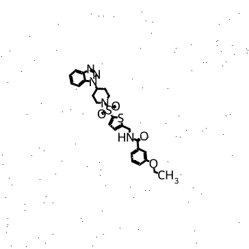 CCOc1cccc(C(=O)NCc2ccc(S(=O)(=O)N3CCC(n4nnc5ccccc54)CC3)s2)c1